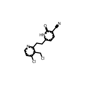 N#Cc1ccc(CCc2nccc(Cl)c2CCl)[nH]c1=O